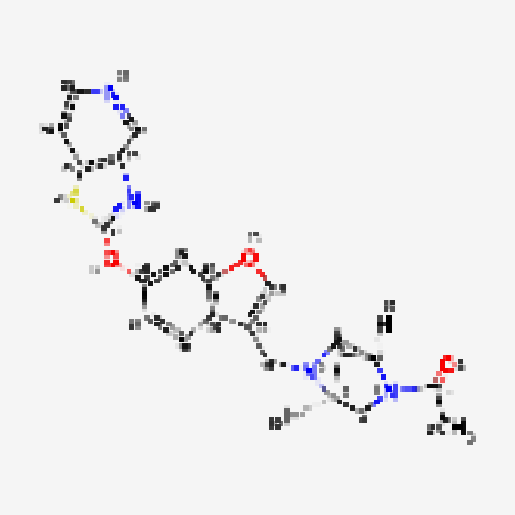 CC(=O)N1C[C@@H]2C[C@H]1CN2Cc1coc2cc(Oc3nc4cnccc4s3)ccc12